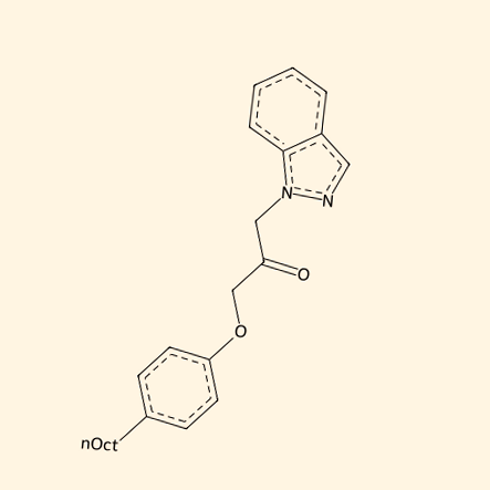 CCCCCCCCc1ccc(OCC(=O)Cn2ncc3ccccc32)cc1